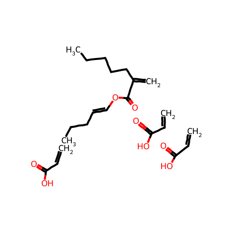 C=C(CCCCC)C(=O)OC=CCCC.C=CC(=O)O.C=CC(=O)O.C=CC(=O)O